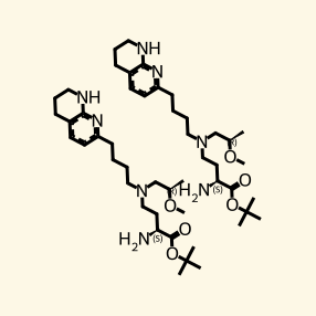 CO[C@H](C)CN(CCCCc1ccc2c(n1)NCCC2)CC[C@H](N)C(=O)OC(C)(C)C.CO[C@H](C)CN(CCCCc1ccc2c(n1)NCCC2)CC[C@H](N)C(=O)OC(C)(C)C